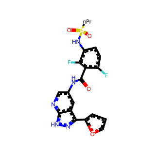 CCCS(=O)(=O)Nc1ccc(F)c(C(=O)Nc2cnc3[nH]nc(-c4ccco4)c3c2)c1F